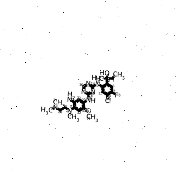 CCC(C)(O)c1cc(F)c(Cl)cc1Nc1ncnc(Nc2cc(N)c(N(C)CCN(C)C)cc2OC)n1